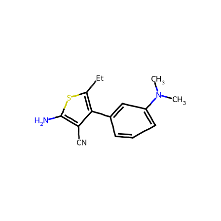 CCc1sc(N)c(C#N)c1-c1cccc(N(C)C)c1